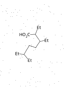 CCC(CC)CCC(CC)C(CC)C(=O)O